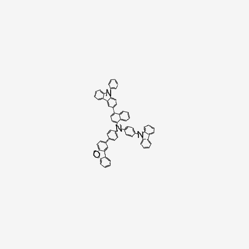 c1ccc(-n2c3ccccc3c3cc(-c4ccc(N(c5ccc(-c6ccc7oc8ccccc8c7c6)cc5)c5ccc(-n6c7ccccc7c7ccccc76)cc5)c5ccccc45)ccc32)cc1